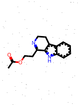 CC(=O)OCCC1=NCCc2c1[nH]c1ccccc21